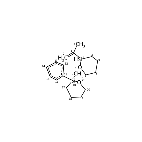 C=C(C)[SiH]1CCCCO1.C[Si]1(c2ccccc2)CCCCO1